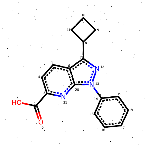 O=C(O)c1ccc2c(C3CCC3)nn(-c3ccccc3)c2n1